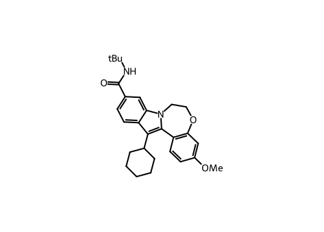 COc1ccc2c(c1)OCCn1c-2c(C2CCCCC2)c2ccc(C(=O)NC(C)(C)C)cc21